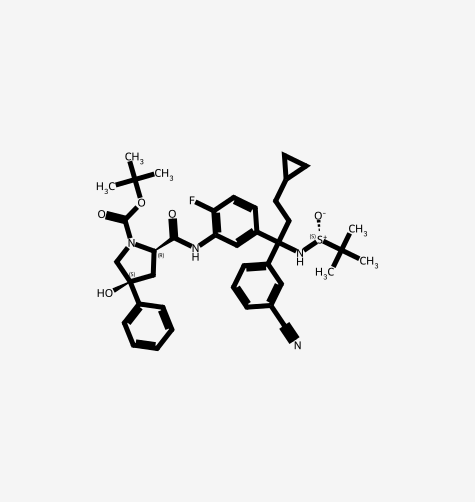 CC(C)(C)OC(=O)N1C[C@@](O)(c2ccccc2)C[C@@H]1C(=O)Nc1cc(C(CCC2CC2)(N[S@+]([O-])C(C)(C)C)c2cccc(C#N)c2)ccc1F